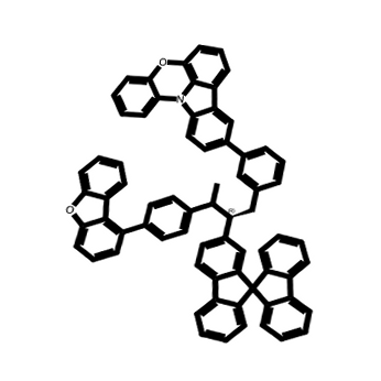 CC(c1ccc(-c2cccc3oc4ccccc4c23)cc1)[C@@H](Cc1cccc(-c2ccc3c(c2)c2cccc4c2n3-c2ccccc2O4)c1)c1ccc2c(c1)C1(c3ccccc3-c3ccccc31)c1ccccc1-2